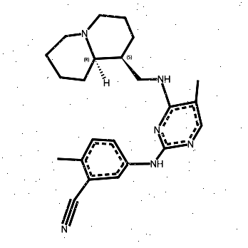 Cc1ccc(Nc2ncc(C)c(NC[C@@H]3CCCN4CCCC[C@H]34)n2)cc1C#N